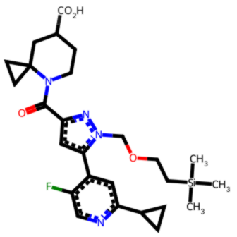 C[Si](C)(C)CCOCn1nc(C(=O)N2CCC(C(=O)O)CC23CC3)cc1-c1cc(C2CC2)ncc1F